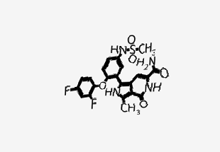 Cc1[nH]c(-c2cc(NS(C)(=O)=O)ccc2Oc2ccc(F)cc2F)c2cc(C(N)=O)[nH]c(=O)c12